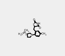 Cc1ccc(N2CC[C@H](N(C)C)C2)c(CC2SC(=O)NC2=O)c1